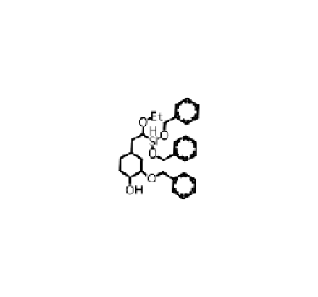 CCOC(CC1CCC(O)C(OCc2ccccc2)C1)[SiH](OCc1ccccc1)OCc1ccccc1